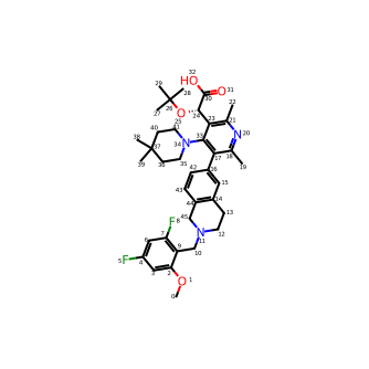 COc1cc(F)cc(F)c1CN1CCc2cc(-c3c(C)nc(C)c([C@H](OC(C)(C)C)C(=O)O)c3N3CCC(C)(C)CC3)ccc2C1